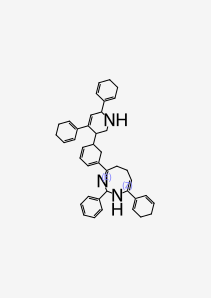 C1=CC(C2CNC(C3=CCCC=C3)C=C2C2=CCCC=C2)CC(/C2=N/C(c3ccccc3)N/C(C3=CCCC=C3)=C\CC2)=C1